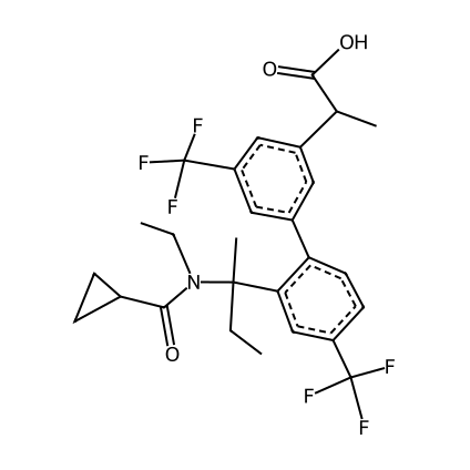 CCN(C(=O)C1CC1)C(C)(CC)c1cc(C(F)(F)F)ccc1-c1cc(C(C)C(=O)O)cc(C(F)(F)F)c1